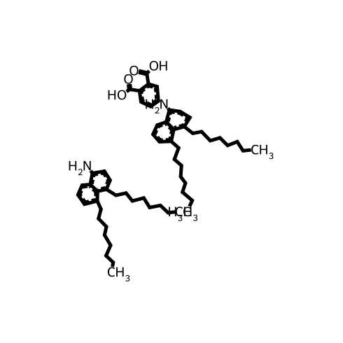 CCCCCCCCc1cccc2c(N)ccc(CCCCCCCC)c12.CCCCCCCCc1cccc2c(N)ccc(CCCCCCCC)c12.O=C(O)c1ccccc1C(=O)O